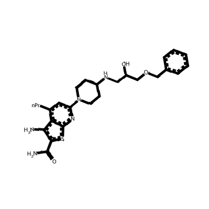 CCCc1cc(N2CCC(NCC(O)COCc3ccccc3)CC2)nc2sc(C(N)=O)c(N)c12